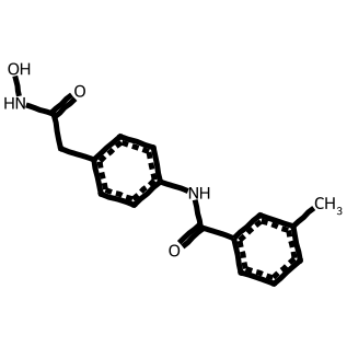 Cc1cccc(C(=O)Nc2ccc(CC(=O)NO)cc2)c1